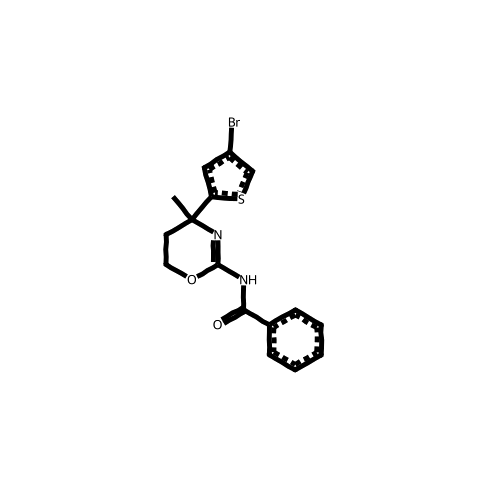 CC1(c2cc(Br)cs2)CCOC(NC(=O)c2ccccc2)=N1